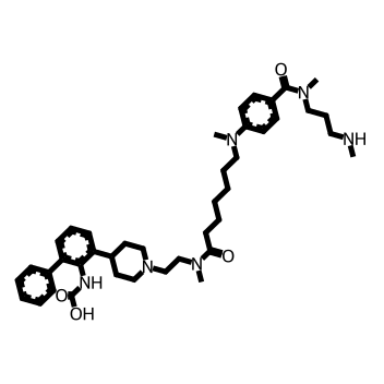 CNCCCN(C)C(=O)c1ccc(N(C)CCCCCCC(=O)N(C)CCN2CCC(c3cccc(-c4ccccc4)c3NC(=O)O)CC2)cc1